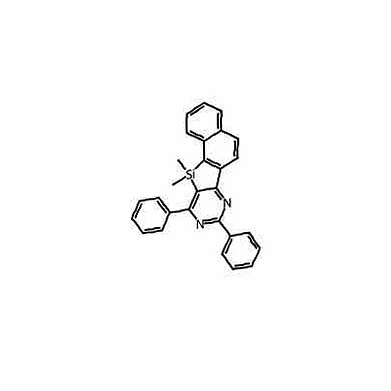 C[Si]1(C)c2c(-c3ccccc3)nc(-c3ccccc3)nc2-c2ccc3ccccc3c21